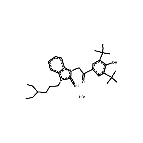 Br.CCC(CC)CCCn1c(=N)n(CC(=O)c2cc(C(C)(C)C)c(O)c(C(C)(C)C)c2)c2ccccc21